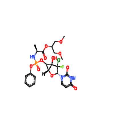 COCC(COC)OC(=O)[C@H](C)NP(=O)(Oc1ccccc1)OC1[C@H]2O[C@@H](n3ccc(=O)[nH]c3=O)[C@@](F)(Cl)[C@@]12O